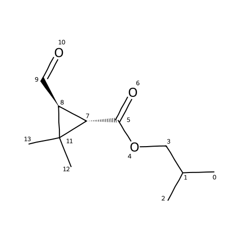 CC(C)COC(=O)[C@H]1[C@H](C=O)C1(C)C